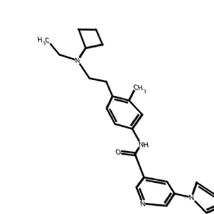 CCN(CCc1ccc(NC(=O)c2cncc(-n3ccnc3)c2)cc1C)C1CCC1